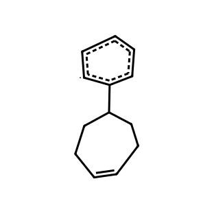 [c]1ccccc1C1CCC=CCC1